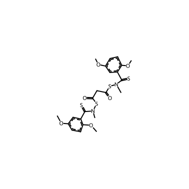 COc1ccc(OC)c(C(=S)N(C)SC(=O)CC(=O)SN(C)C(=S)c2cc(OC)ccc2OC)c1